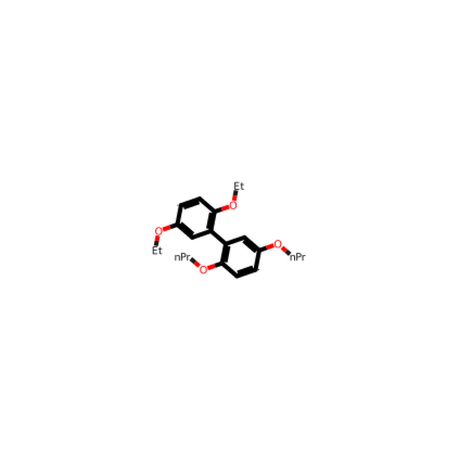 CCCOc1[c]cc(OCCC)c(-c2cc(OCC)[c]cc2OCC)c1